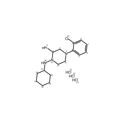 CCCC1CN(c2ccccc2Cl)CCN1NC1CCCCC1.Cl.Cl.Cl